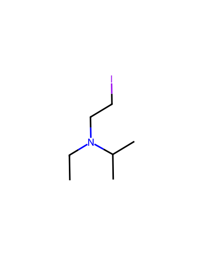 CCN(CCI)C(C)C